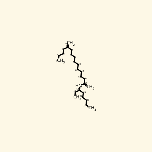 C=C(CCCC)CCCCCCCCCC(=C)NC(CC)CCCCC